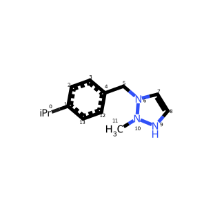 CC(C)c1ccc(CN2C=CNN2C)cc1